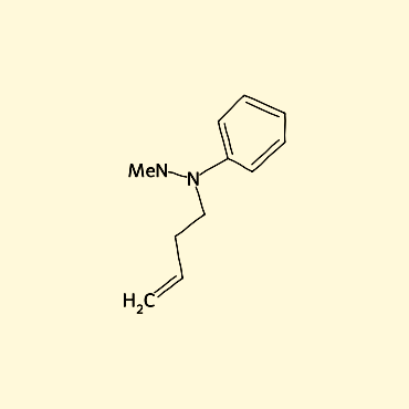 C=CCCN(NC)c1ccccc1